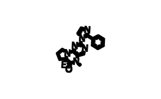 CCC12CCCN1c1nc(-n3ccnc3-c3ccccc3)ncc1N(C)C2=O